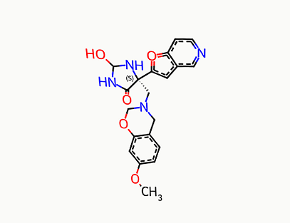 COc1ccc2c(c1)OCN(C[C@@]1(c3cc4cnccc4o3)NC(O)NC1=O)C2